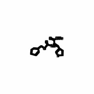 COC(=O)/C(=C/c1ccsc1)NC(=O)OCc1ccccc1